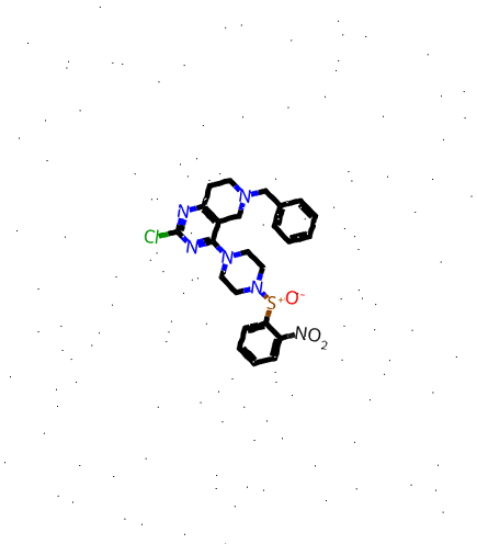 O=[N+]([O-])c1ccccc1[S+]([O-])N1CCN(c2nc(Cl)nc3c2CN(Cc2ccccc2)CC3)CC1